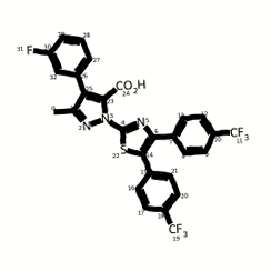 Cc1nn(-c2nc(-c3ccc(C(F)(F)F)cc3)c(-c3ccc(C(F)(F)F)cc3)s2)c(C(=O)O)c1-c1cccc(F)c1